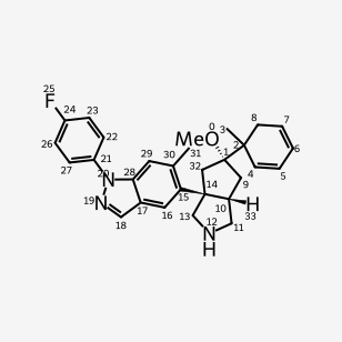 CO[C@]1(C2(C)C=CC=CC2)C[C@@H]2CNC[C@]2(c2cc3cnn(-c4ccc(F)cc4)c3cc2C)C1